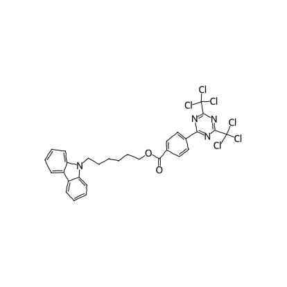 O=C(OCCCCCCn1c2ccccc2c2ccccc21)c1ccc(-c2nc(C(Cl)(Cl)Cl)nc(C(Cl)(Cl)Cl)n2)cc1